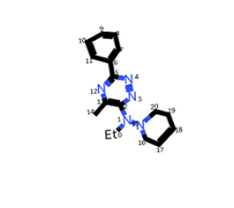 CCN(c1nnc(-c2ccccc2)nc1C)N1CC=CCC1